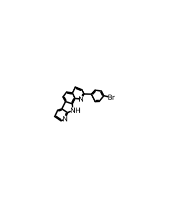 Brc1ccc(-c2ccc3ccc4c5cccnc5[nH]c4c3n2)cc1